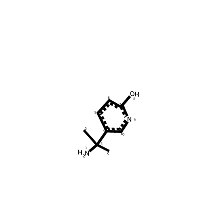 CC(C)(N)c1ccc(O)nc1